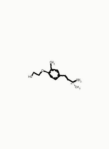 Cc1cc(CC[C@@H](C)N)ccc1OCCO